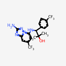 CC(C)(O)C(Nc1cc(C(F)(F)F)cc2nc(N)nn12)c1ccc(C(F)(F)F)cc1